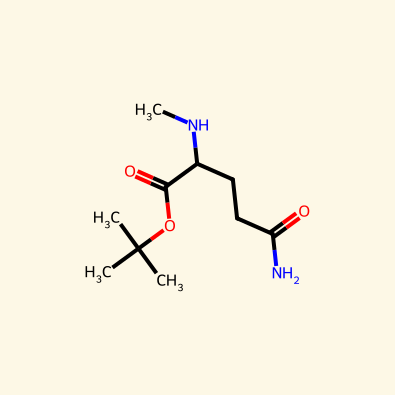 CNC(CCC(N)=O)C(=O)OC(C)(C)C